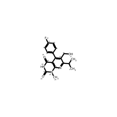 CC(C)c1nc2c(c(-c3ccc(F)cc3)c1CO)c(=O)[nH]c(=O)n2C